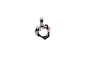 CC(C)C1NC(=O)C(C)(C)/C=C/c2ccc3ccc(nc3c2)[C@@H](C)OC(=O)[C@@H]2CCCN(N2)C(=O)[C@H](COCC2(C)COC2)NC1=O